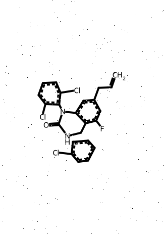 C=CCc1cc(F)c2c(c1)N(c1c(Cl)cccc1Cl)C(=O)NC2.Clc1ccccc1